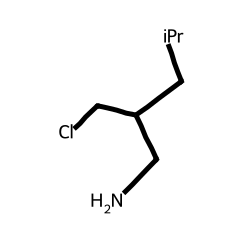 CC(C)CC(CN)CCl